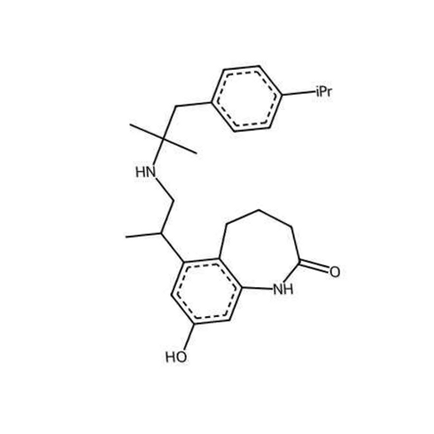 CC(C)c1ccc(CC(C)(C)NCC(C)c2cc(O)cc3c2CCCC(=O)N3)cc1